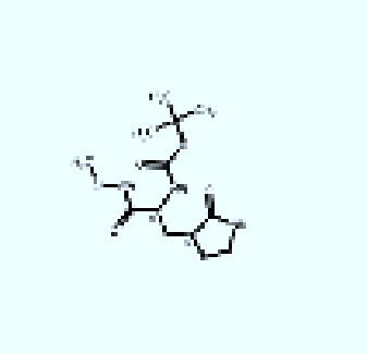 CONC(=O)[C@H](C[C@@H]1CCNC1=O)NC(=O)OC(C)(C)C